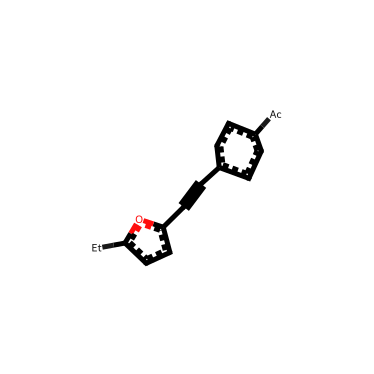 CCc1ccc(C#Cc2ccc(C(C)=O)cc2)o1